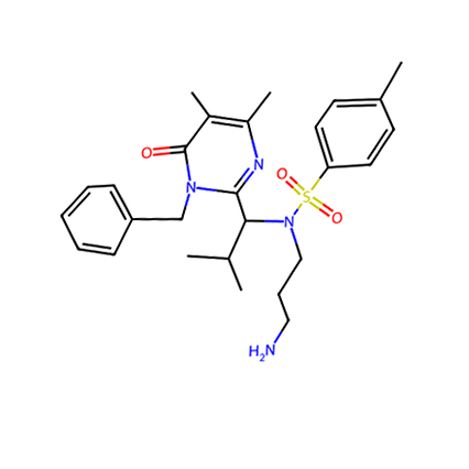 Cc1ccc(S(=O)(=O)N(CCCN)C(c2nc(C)c(C)c(=O)n2Cc2ccccc2)C(C)C)cc1